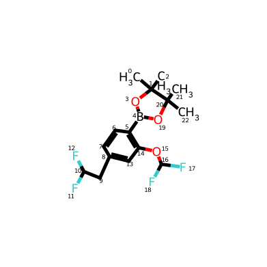 CC1(C)OB(c2ccc(CC(F)F)cc2OC(F)F)OC1(C)C